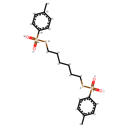 Cc1ccc(S(=O)(=O)SCCCCCCSS(=O)(=O)c2ccc(C)cc2)cc1